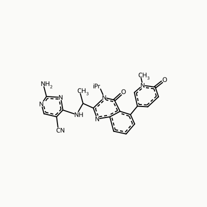 CC(Nc1nc(N)ncc1C#N)c1nc2cccc(-c3ccc(=O)n(C)c3)c2c(=O)n1C(C)C